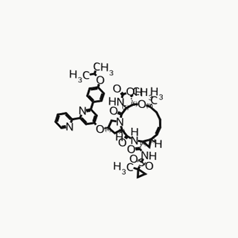 CC[C@@H]1O[C@H](C)CCC=C[C@@H]2C[C@@]2(C(=O)NS(=O)(=O)C2(C)CC2)NC(=O)[C@@H]2C[C@@H](Oc3cc(-c4ccc(OC(C)C)cc4)nc(-c4ccccn4)c3)CN2C(=O)[C@H]1NC(=O)O